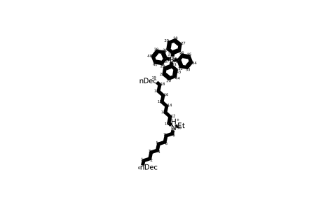 CCCCCCCCCCCCCCCCCC[NH+](CC)CCCCCCCCCCCCCCCCCC.c1ccc([B-](c2ccccc2)(c2ccccc2)c2ccccc2)cc1